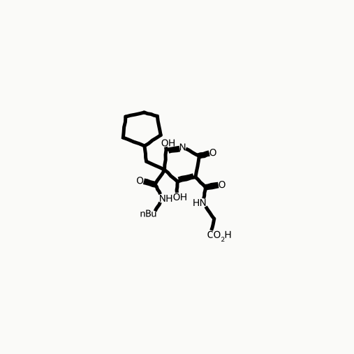 CCCCNC(=O)C1(CC2CCCCC2)C(O)=NC(=O)C(C(=O)NCC(=O)O)=C1O